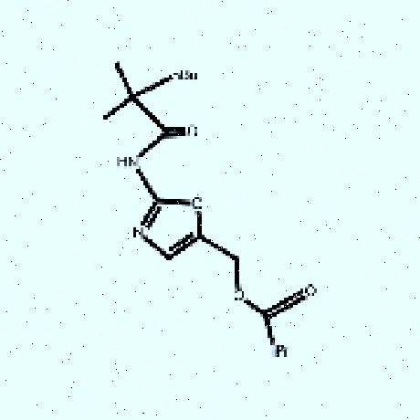 CCCCC(C)(C)C(=O)Nc1ncc(COC(=O)C(C)C)o1